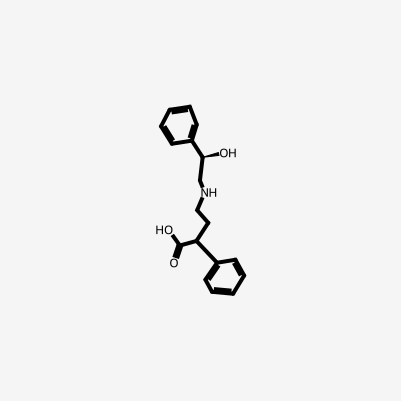 O=C(O)C(CCNC[C@H](O)c1ccccc1)c1ccccc1